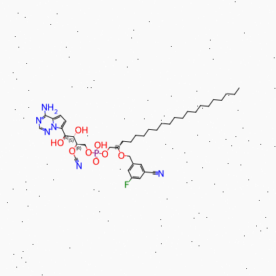 CCCCCCCCCCCCCCCCCCC[C@H](COP(=O)(O)OC[C@@H](OC#N)[C@@H](O)[C@@H](O)c1ccc2c(N)ncnn12)OCc1cc(F)cc(C#N)c1